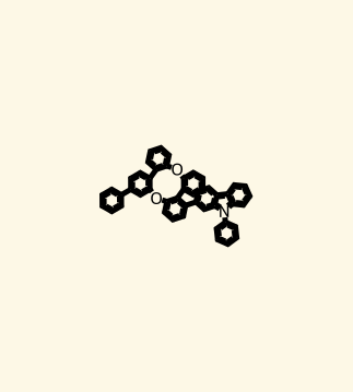 c1ccc(-c2ccc3c(c2)Oc2cccc(-c4ccc5c6ccccc6n(-c6ccccc6)c5c4)c2-c2ccccc2Oc2ccccc2-3)cc1